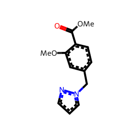 COC(=O)c1ccc(Cn2cccn2)cc1OC